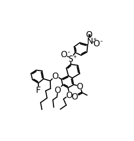 CCCCCC(Oc1c(OCCC)c(OCCC)c(OC(C)=O)c2ccc([S+]([O-])c3ccc([N+](=O)[O-])cc3)cc12)c1ccccc1F